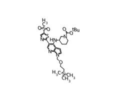 CC(C)(C)OC(=O)N1CCC[C@@H](Nc2c(-c3ncc(S(C)(=O)=O)s3)cnc3c2ccn3COCC[Si](C)(C)C)C1